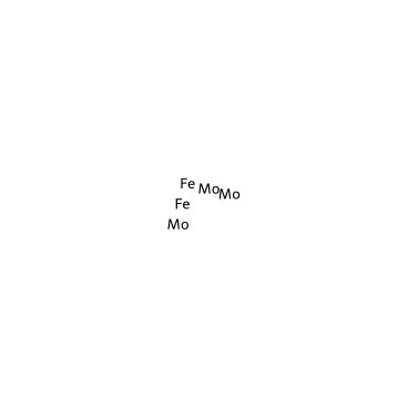 [Fe].[Fe].[Mo].[Mo].[Mo]